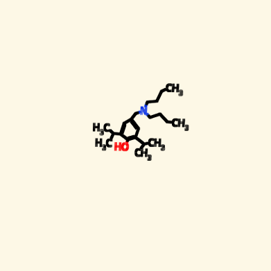 CCCCN(CCCC)Cc1cc(C(C)C)c(O)c(C(C)C)c1